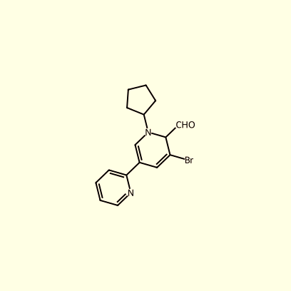 O=CC1C(Br)=CC(c2ccccn2)=CN1C1CCCC1